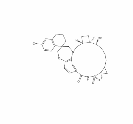 O=C1NS(=O)(=O)[C@@H]2CC2CCC[C@H](O)[C@@H]2CC[C@H]2CN2C[C@@]3(CCCc4cc(Cl)ccc43)COc3ccc1cc32